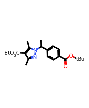 CCOC(=O)c1c(C)nn(C(C)c2ccc(C(=O)OC(C)(C)C)cc2)c1C